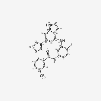 Cc1ccc(NC(=O)c2cccc(C(F)(F)F)c2)cc1Nc1cc(-c2ccsc2)nc2[nH]ccc12